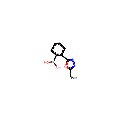 CCCCCc1nnc(-c2ccccc2B(O)O)o1